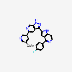 COc1cncc(-c2cc3c(-c4cc5c(-c6ccc(F)cc6)nccc5[nH]4)n[nH]c3cn2)c1